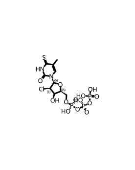 Cc1cn([C@H]2O[C@@H](COP(=O)(O)OP(=O)(O)OP(=O)(O)O)C(O)[C@H]2Cl)c(=O)[nH]c1=S